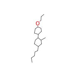 CCCCCC1CCC(C2CCC(OCCC)CC2)C(C)C1